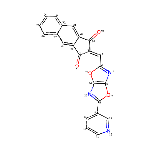 O=C1C(=Cc2nc3oc(-c4cccnc4)nc3o2)C(=O)c2cc3ccccc3cc21